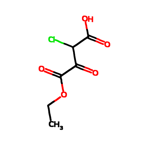 CCOC(=O)C(=O)C(Cl)C(=O)O